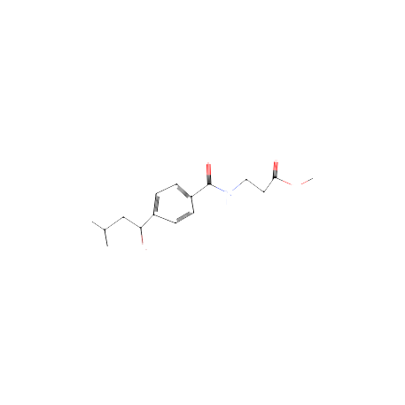 COC(=O)CCNC(=O)c1ccc(C(Br)CC(C)C)cc1